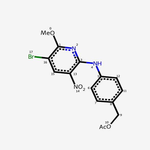 COc1nc(Nc2ccc(COC(C)=O)cc2)c([N+](=O)[O-])cc1Br